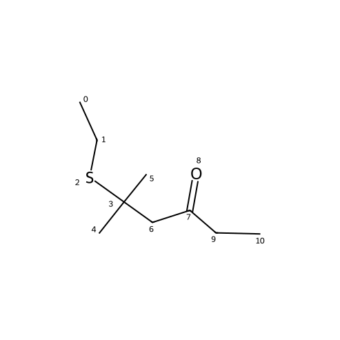 CCSC(C)(C)CC(=O)CC